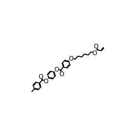 C=CC(=O)OCCCCCCOc1ccc(C(=O)Oc2ccc(OC(=O)c3ccc(C)cc3)cc2)cc1